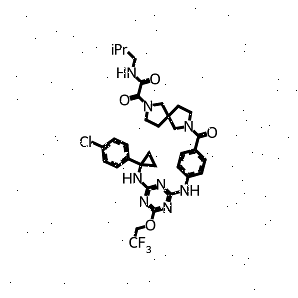 CC(C)CNC(=O)C(=O)N1CCC2(CCN(C(=O)c3ccc(Nc4nc(NC5(c6ccc(Cl)cc6)CC5)nc(OCC(F)(F)F)n4)cc3)C2)C1